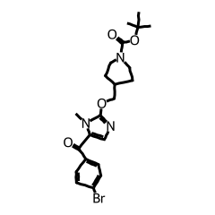 Cn1c(C(=O)c2ccc(Br)cc2)cnc1OCC1CCN(C(=O)OC(C)(C)C)CC1